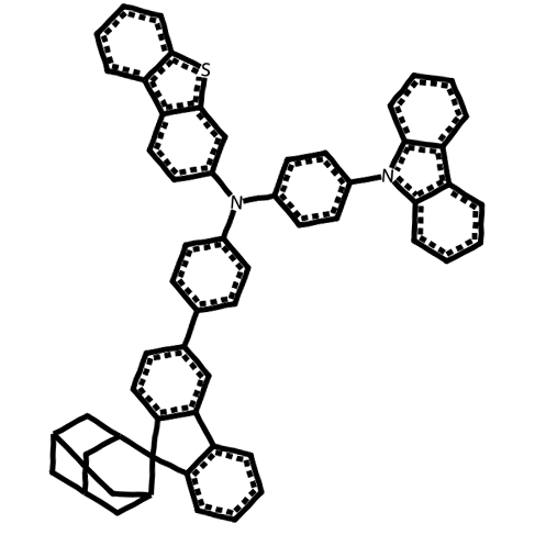 c1ccc2c(c1)-c1cc(-c3ccc(N(c4ccc(-n5c6ccccc6c6ccccc65)cc4)c4ccc5c(c4)sc4ccccc45)cc3)ccc1C21C2CC3CC(C2)CC1C3